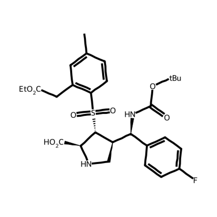 CCOC(=O)Cc1cc(C)ccc1S(=O)(=O)[C@@H]1[C@@H]([C@@H](NC(=O)OC(C)(C)C)c2ccc(F)cc2)CN[C@H]1C(=O)O